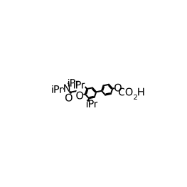 CC(C)c1cc(-c2ccc(OC(=O)O)cc2)cc(C(C)C)c1OCC(=O)N(C(C)C)C(C)C